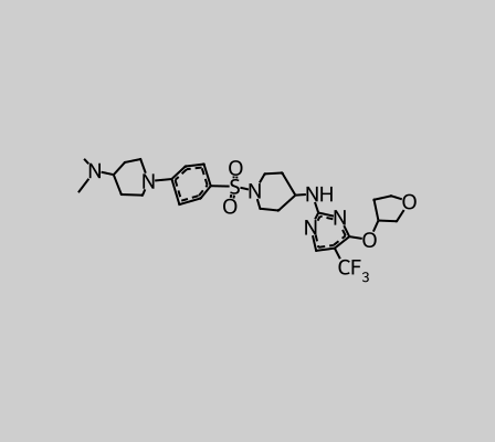 CN(C)C1CCN(c2ccc(S(=O)(=O)N3CCC(Nc4ncc(C(F)(F)F)c(OC5CCOC5)n4)CC3)cc2)CC1